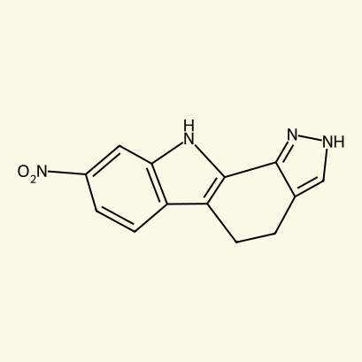 O=[N+]([O-])c1ccc2c3c([nH]c2c1)-c1n[nH]cc1CC3